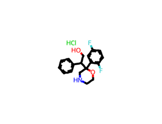 Cl.OCC(c1ccccc1)C1(c2cc(F)ccc2F)CNCCO1